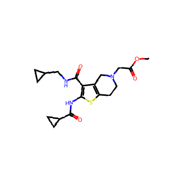 COC(=O)CN1CCc2sc(NC(=O)C3CC3)c(C(=O)NCC3CC3)c2C1